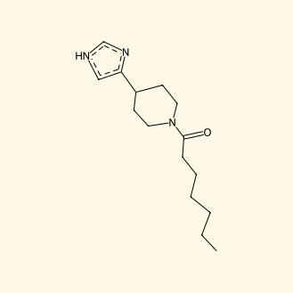 CCCCCCC(=O)N1CCC(c2c[nH]cn2)CC1